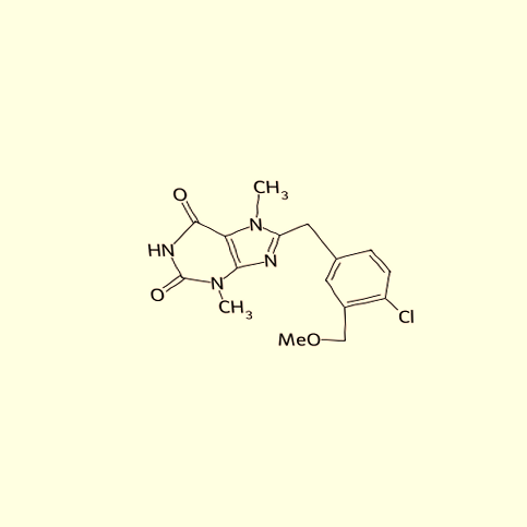 COCc1cc(Cc2nc3c(c(=O)[nH]c(=O)n3C)n2C)ccc1Cl